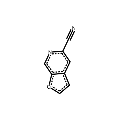 N#Cc1cc2ccoc2cn1